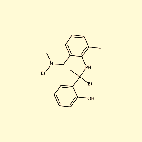 CCN(C)Cc1cccc(C)c1PC(C)(CC)c1ccccc1O